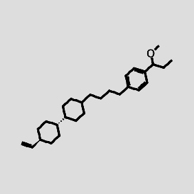 C=C[C@H]1CC[C@H](C2CCC(CCCCc3ccc(C(CC)OC)cc3)CC2)CC1